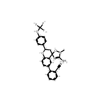 CN1OC2(CC(c3ccc(OC(F)(F)F)cc3)Oc3ccc(-c4ccccc4C#N)cc32)N=C1N